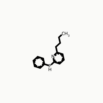 CCCCc1cccc(Pc2ccccc2)n1